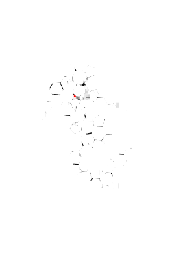 CC[C@H](C)[C@H](NC(=O)[C@H](CO)NC(=O)[C@H](C)NC(=O)[C@@H](NC(=O)[C@@H](N)CCC(=O)O)[C@@H](C)O)C(=O)N1CCC[C@H]1C(=O)N1CCC[C@H]1C(=O)N[C@@H](CCC(N)=O)C(=O)N[C@@H](CCCCN)C(=O)N[C@@H](Cc1ccc(O)cc1)C(=O)N1CCC[C@@H]1C(=O)N1CCC[C@H]1C(=O)O